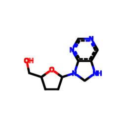 OCC1CCC(N2CNc3cncnc32)O1